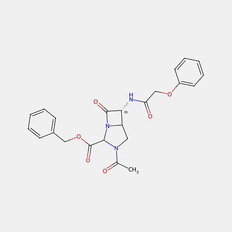 CC(=O)N1CC2[C@@H](NC(=O)COc3ccccc3)C(=O)N2C1C(=O)OCc1ccccc1